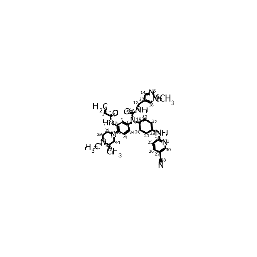 C=CC(=O)Nc1cc(N(C(=O)NCc2cnn(C)c2)C2CCC(Nc3ccc(C#N)cn3)CC2)ccc1N1CCN(C)C(C)C1